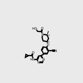 C[C@H]1C[C@@H](Oc2ccc(-c3cc(NC(=O)C4CC4)ncn3)cc2C#N)CCN1C(=O)CO